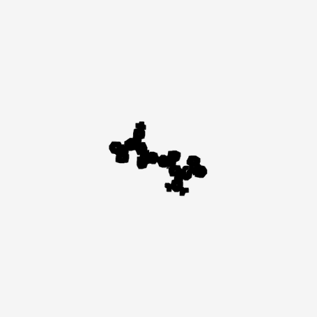 CC(C)c1cc(C(C)C)cc(-n2c3ccc(-n4c5ccccc5c5ccccc54)cc3c3cc(-n4c5ccccc5c5cc(-c6ccc7c(c6)c6ccccc6n7-c6ccc7c(c6)c6cc(-n8c9ccccc9c9ccccc98)ccc6n7-c6ccc(C(C)(C)C)cc6)ccc54)ccc32)c1